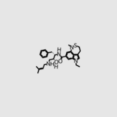 CCn1cc2c3c(cc(C(=O)N[C@@H](Cc4ccccc4)[C@H](O)CNCC=C(C)C)cc31)N(C)SCC2